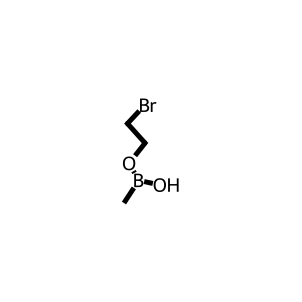 CB(O)OCCBr